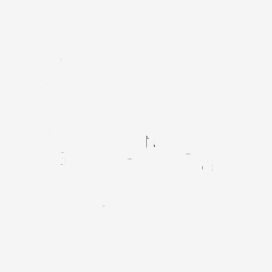 c1ccc(-c2ccc(N(c3ccc4c(c3)oc3ccccc34)c3ccc4c5ccccc5c5ccccc5c5ccccc5c5c(ccc6sc7ccccc7c65)c4c3)cc2)cc1